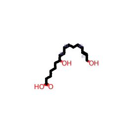 O=C(O)CCCCCC(O)/C=C/C=C\C/C=C\C=C\CO